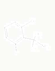 CC(C)(N)c1c(F)cccc1Cl